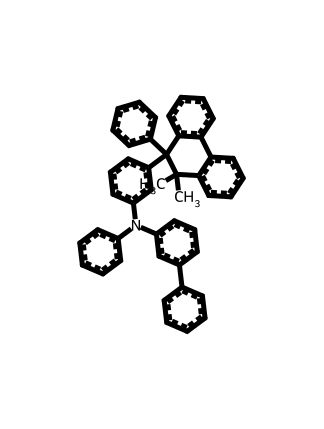 CC1(C)c2ccccc2-c2ccccc2C1(c1ccccc1)c1cccc(N(c2ccccc2)c2cccc(-c3ccccc3)c2)c1